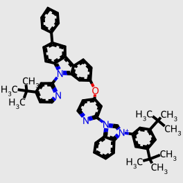 CC(C)(C)c1cc(-[n+]2cn(-c3cc(Oc4ccc5c6cc(-c7ccccc7)ccc6n(-c6cc(C(C)(C)C)ccn6)c5c4)ccn3)c3ccccc32)cc(C(C)(C)C)c1